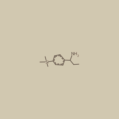 CCC(N)c1ccc([Si](C)(C)C)cc1